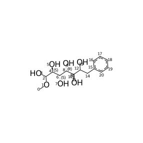 COC(O)[C@@H](O)[C@@H](O)[C@H](O)[C@H](O)C(O)Cc1ccccc1